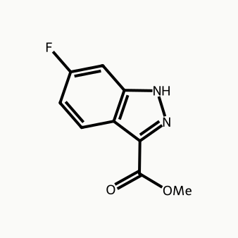 COC(=O)c1n[nH]c2cc(F)ccc12